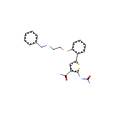 NC(=O)Nc1sc(-c2ccccc2OCCNCc2ccccc2)cc1C(N)=O